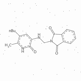 CCCCc1cc(NCN2C(=O)c3ccccc3C2=O)c(=O)[nH]c1C